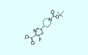 COC(=O)c1ncc(C2CCN(C(=O)OC(C)(C)C)CC2)cc1F